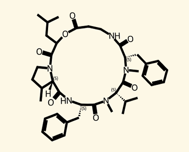 CC(C)CC1OC(=O)CCNC(=O)[C@H](Cc2ccccc2)N(C)C(=O)[C@H](C(C)C)N(C)C(=O)[C@H](Cc2ccccc2)NC(=O)[C@@H]2C(C)CCN2C1=O